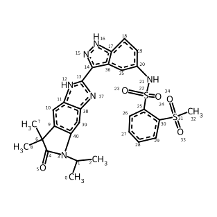 CC(C)N1C(=O)C(C)(C)c2cc3[nH]c(-c4n[nH]c5ccc(NS(=O)(=O)c6ccccc6S(C)(=O)=O)cc45)nc3cc21